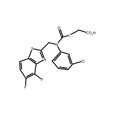 O=C(O)CCC(=O)N(Cc1nc2c(F)c(F)ccc2s1)c1cccc(Cl)c1